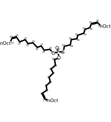 CCCCCCCC/C=C\CCCCCCCCOP(=O)(OCCCCCCCC/C=C\CCCCCCCC)SCCCCCCCC/C=C\CCCCCCCC